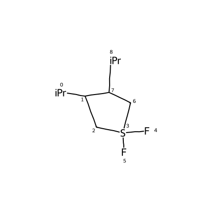 CC(C)C1CS(F)(F)CC1C(C)C